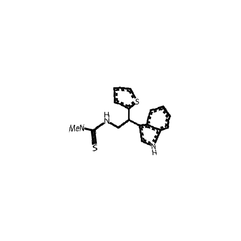 CNC(=S)NCC(c1cccs1)c1c[nH]c2ccccc12